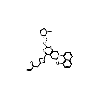 C=CC(=O)CC1CN(c2nc(OC[C@@H]3CCCN3C)nc3c2CCN(c2cccc4cccc(Cl)c24)C3)C1